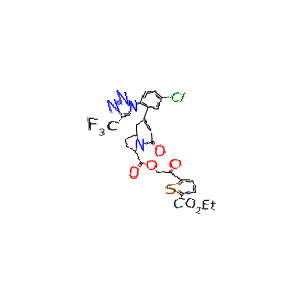 CCOC(=O)c1ccc(C(=O)COC(=O)C2CCC3CC(c4cc(Cl)ccc4-n4cc(C(F)(F)F)nn4)=CC(=O)N32)s1